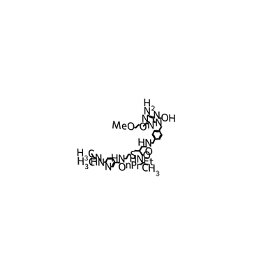 CCCC(C)(CC)NC(=O)C(CSCCNC(=O)c1ccc(NN=C(C)C)nc1)CC(=O)NCc1ccc(Cn2c(O)nc3c(N)nc(OCCOC)nc32)cc1